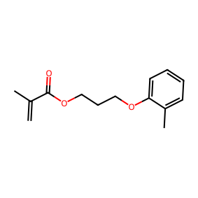 C=C(C)C(=O)OCCCOc1ccccc1C